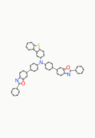 c1ccc(-c2nc3ccc(-c4ccc(N(c5ccc(-c6ccc7nc(-c8ccccc8)oc7c6)cc5)c5ccc6sc7ccccc7c6c5)cc4)cc3o2)cc1